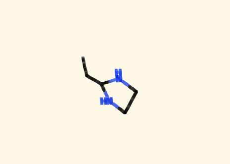 CCC1NCCN1